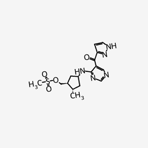 C[C@H]1C[C@H](Nc2ncncc2C(=O)c2cc[nH]n2)C[C@@H]1COS(C)(=O)=O